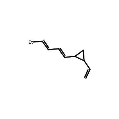 C=CC1CC1C=CC=CCC